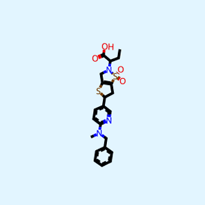 CCC(C(=O)O)N1CC2=C(CC(c3ccc(N(C)Cc4ccccc4)nc3)S2)S1(=O)=O